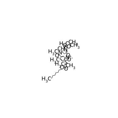 CCCCCCCCOC(=O)C(C)(C)Sc1cc(C)c(C(=O)N(C(C)C)[C@@H]2CCCN(C(=O)OC(C)(C)C)C2)cc1[N+](=O)[O-]